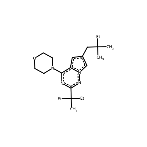 CCC(C)(C)Cc1cc2c(N3CCOCC3)nc(C(C)(CC)CC)nn2c1